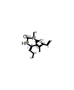 C=Cc1sc2c(c1C)/C(=C\CC)NC(=O)N2C